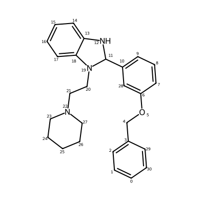 c1ccc(COc2cccc(C3Nc4ccccc4N3CCN3CCCCC3)c2)cc1